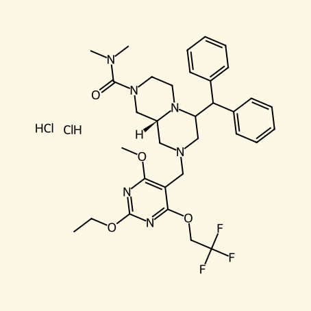 CCOc1nc(OC)c(CN2CC(C(c3ccccc3)c3ccccc3)N3CCN(C(=O)N(C)C)C[C@H]3C2)c(OCC(F)(F)F)n1.Cl.Cl